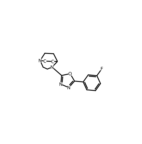 Fc1cccc(-c2nnc(N3CCN4CCC3CC4)o2)c1